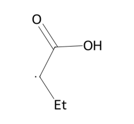 [CH2]C[CH]C(=O)O